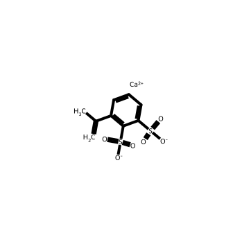 C=C(C)c1cccc(S(=O)(=O)[O-])c1S(=O)(=O)[O-].[Ca+2]